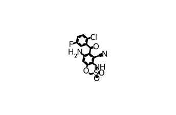 N#Cc1c2c(cc(N)c1C(=O)c1cc(F)ccc1Cl)OCS(=O)(=O)N2